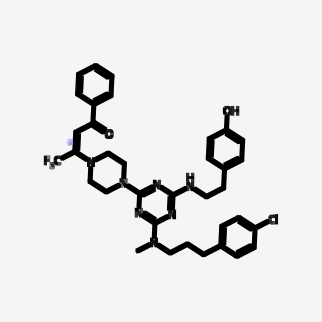 CN(CCCc1ccc(Cl)cc1)c1nc(NCCc2ccc(O)cc2)nc(N2CCN(/C(=C\C(=O)c3ccccc3)C(F)(F)F)CC2)n1